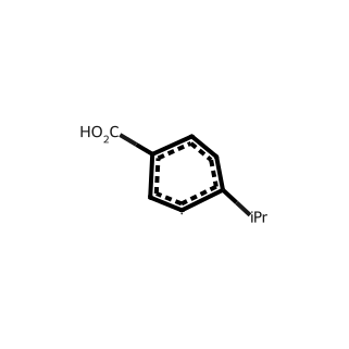 CC(C)c1[c]cc(C(=O)O)cc1